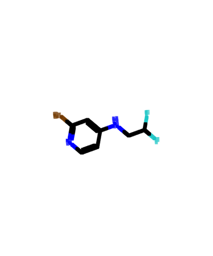 FC(F)CNc1ccnc(Br)c1